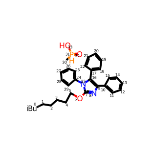 CCC(C)CCCCCOc1nc(-c2ccccc2)c(-c2ccccc2)n1-c1ccccc1.C[PH](=O)O